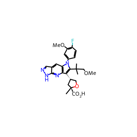 COCC(C)(C)c1c([C@@H]2CO[C@@](C)(C(=O)O)C2)c2nc3[nH]ncc3cc2n1-c1ccc(F)c(OC)c1